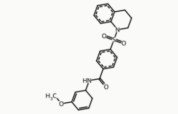 COC1=CC(NC(=O)c2ccc(S(=O)(=O)N3CCCc4ccccc43)cc2)CC=C1